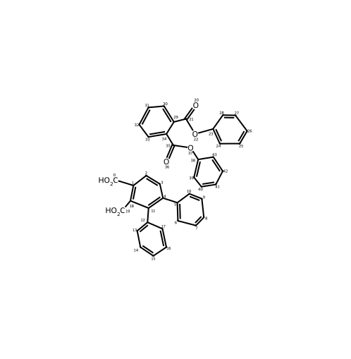 O=C(O)c1ccc(-c2ccccc2)c(-c2ccccc2)c1C(=O)O.O=C(Oc1ccccc1)c1ccccc1C(=O)Oc1ccccc1